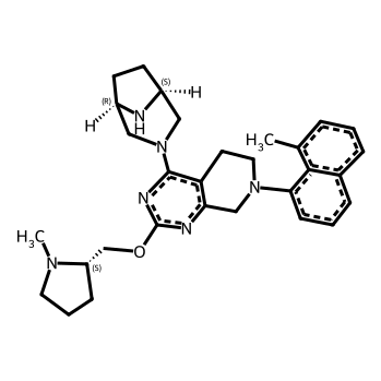 Cc1cccc2cccc(N3CCc4c(nc(OC[C@@H]5CCCN5C)nc4N4C[C@H]5CC[C@@H](C4)N5)C3)c12